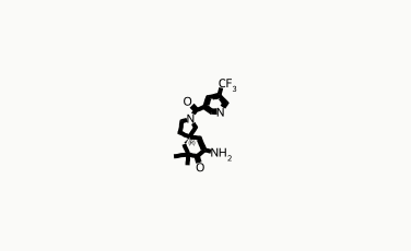 CC1(C)C[C@]2(C=C(N)C1=O)CCN(C(=O)c1cncc(C(F)(F)F)c1)C2